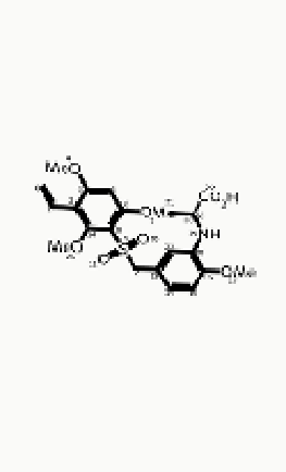 C=Cc1c(OC)cc(OC)c(S(=O)(=O)Cc2ccc(OC)c(N[C@@H](C)C(=O)O)c2)c1OC